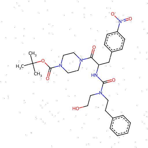 CC(C)(C)OC(=O)N1CCN(C(=O)C(Cc2ccc([N+](=O)[O-])cc2)NC(=O)N(CCO)CCc2ccccc2)CC1